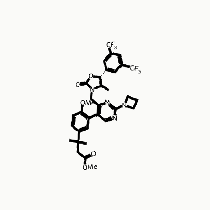 COC(=O)CC(C)(C)c1ccc(OC)c(-c2cnc(N3CCC3)nc2CN2C(=O)O[C@H](c3cc(C(F)(F)F)cc(C(F)(F)F)c3)C2C)c1